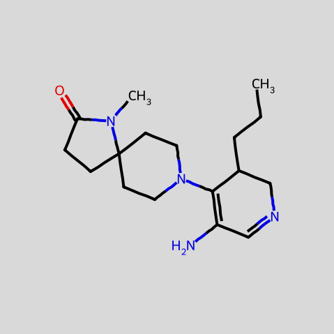 CCCC1CN=CC(N)=C1N1CCC2(CCC(=O)N2C)CC1